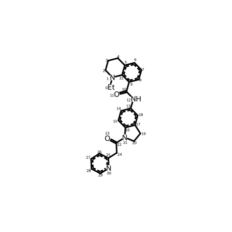 CCN1CCCc2cccc(C(=O)Nc3ccc4c(c3)CCN4C(=O)Cc3ccccn3)c21